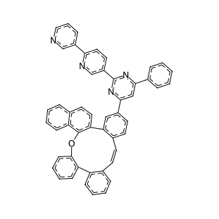 C1=C\c2ccc(-c3cc(-c4ccccc4)nc(-c4ccc(-c5cccnc5)nc4)n3)cc2-c2ccc3ccccc3c2Oc2ccccc2-c2ccccc2/1